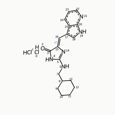 Cl.Cl.O=C1NC(NCC2CCCCC2)=N/C1=C\c1c[nH]c2ncccc12